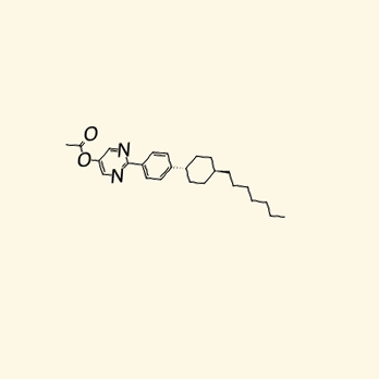 CCCCCCC[C@H]1CC[C@H](c2ccc(-c3ncc(OC(C)=O)cn3)cc2)CC1